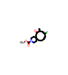 C=C1/C=C(F)\C=C/CCC2(CCN(C(=O)OC(C)(C)C)CC2)CC1=O